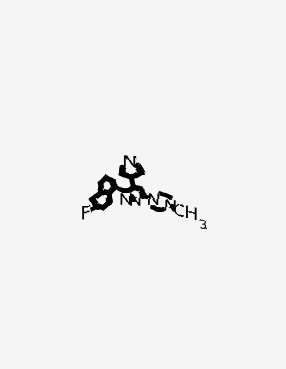 CN1CCN(c2cc(-c3ccncc3)c(-c3cccc4cc(F)ccc34)nn2)CC1